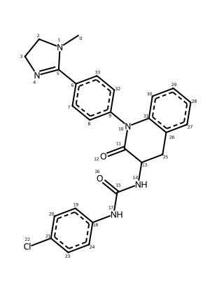 CN1CCN=C1c1ccc(N2C(=O)C(NC(=O)Nc3ccc(Cl)cc3)Cc3ccccc32)cc1